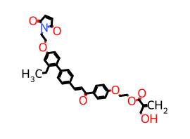 C=C(CO)C(=O)OCCOc1ccc(C(=O)/C=C/c2ccc(-c3ccc(OCCN4C(=O)C=CC4=O)cc3CC)cc2)cc1